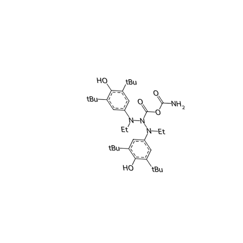 CCN(c1cc(C(C)(C)C)c(O)c(C(C)(C)C)c1)N(C(=O)OC(N)=O)N(CC)c1cc(C(C)(C)C)c(O)c(C(C)(C)C)c1